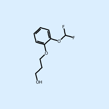 OCCCOc1ccccc1OC(F)F